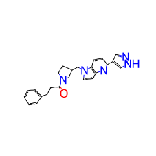 O=C(CCc1ccccc1)N1CCC(Cn2ccc3nc(-c4cn[nH]c4)ccc32)C1